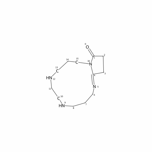 O=C1[CH]CC2=NCCCNCCNCCCN12